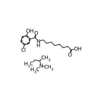 CCC(C)N(C)C.O=C(O)CCCCCCCNC(=O)c1cc(Cl)ccc1O